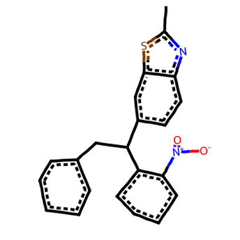 Cc1nc2ccc(C(Cc3ccccc3)c3ccccc3[N+](=O)[O-])cc2s1